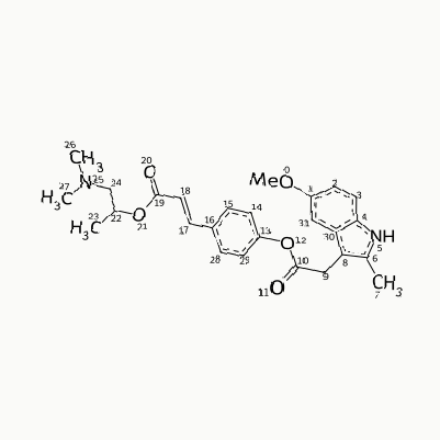 COc1ccc2[nH]c(C)c(CC(=O)Oc3ccc(C=CC(=O)OC(C)CN(C)C)cc3)c2c1